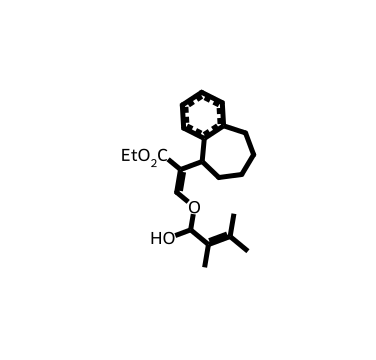 CCOC(=O)/C(=C/OC(O)C(C)=C(C)C)C1CCCCc2ccccc21